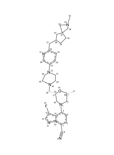 C[C@@H]1CN(c2ccc(C#N)n3ncc(F)c23)C[C@H](CN2CCN(c3ccc(CC4CCC5(C4)CN(C)C5)nc3)CC2)O1